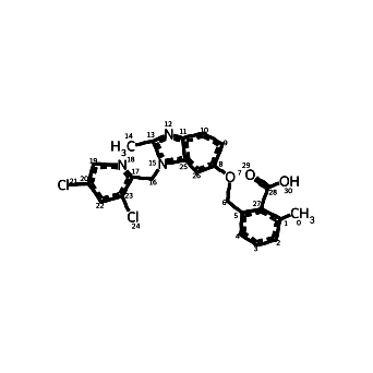 Cc1cccc(COc2ccc3nc(C)n(Cc4ncc(Cl)cc4Cl)c3c2)c1C(=O)O